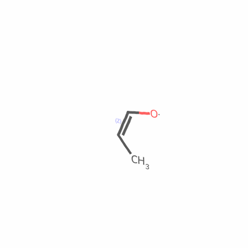 C/C=C\[O]